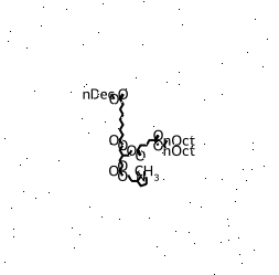 CCCCCCCCCCOC(=O)CCCCCCCC(=O)OCC(COC(=O)CCCC(=O)OC(CCCCCCCC)CCCCCCCC)COC(=O)OCCC1CCCN1C